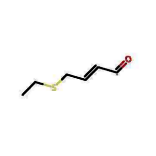 CCSCC=C[C]=O